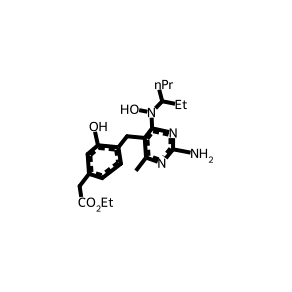 CCCC(CC)N(O)c1nc(N)nc(C)c1Cc1ccc(CC(=O)OCC)cc1O